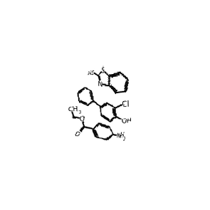 CCOC(=O)c1ccc(N)cc1.Oc1ccc(-c2ccccc2)cc1Cl.Sc1nc2ccccc2s1